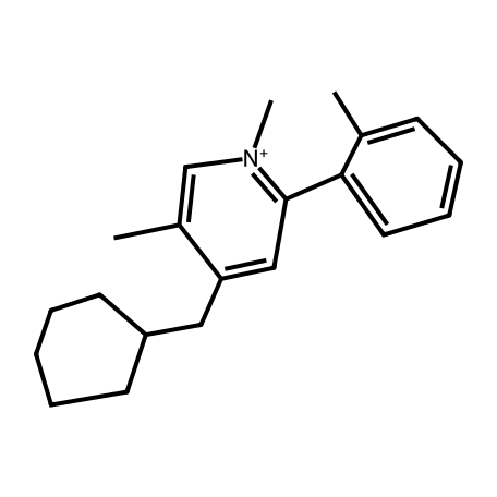 Cc1c[n+](C)c(-c2ccccc2C)cc1CC1CCCCC1